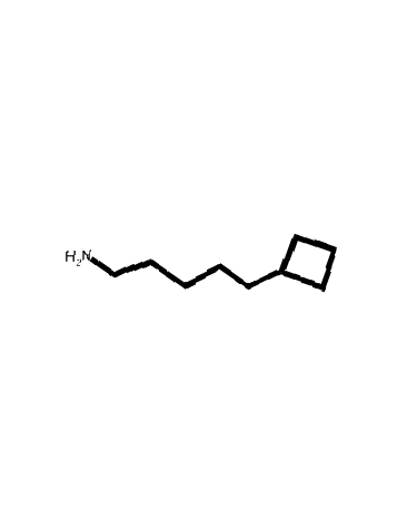 NCCCCCC1CCC1